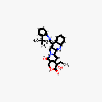 CC[C@@]1(O)C(=O)OCc2c1cc1n(c2=O)Cc2c-1nc1ccccc1c2C=Nc1ccccc1C(C)(C)C